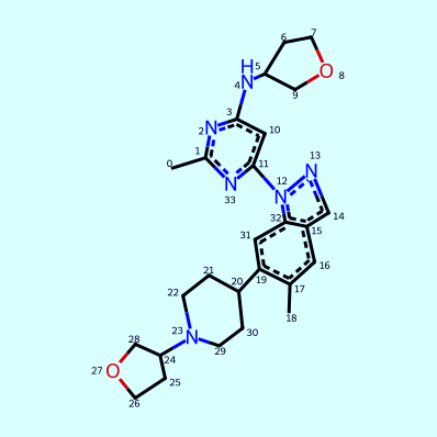 Cc1nc(NC2CCOC2)cc(-n2ncc3cc(C)c(C4CCN(C5CCOC5)CC4)cc32)n1